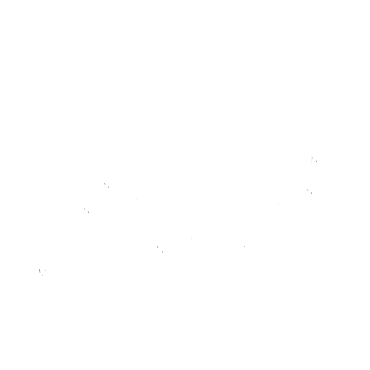 COCc1c(NC(=O)CC(C)(C)CC(=O)NN)c(=O)n(-c2ccccc2)n1C